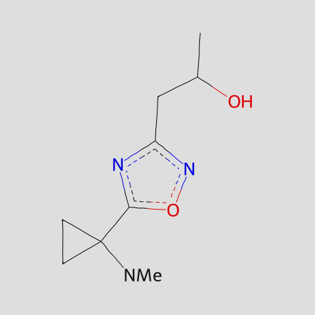 CNC1(c2nc(CC(C)O)no2)CC1